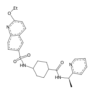 CCOc1ccc2cc(S(=O)(=O)NC3CCC(C(=O)N[C@H](C)c4ccccn4)CC3)ccc2n1